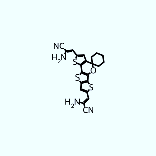 N#C/C(N)=C/c1cc2c(s1)-c1sc3cc(/C=C(\N)C#N)sc3c1OC21CCCCC1